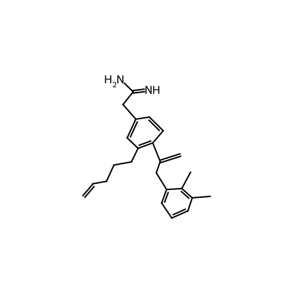 C=CCCCc1cc(CC(=N)N)ccc1C(=C)Cc1cccc(C)c1C